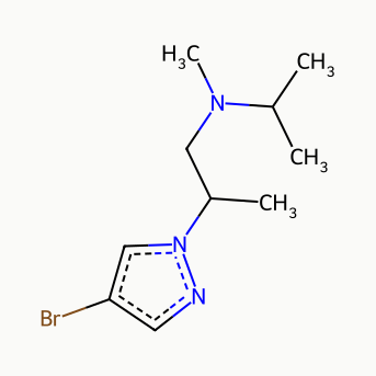 CC(C)N(C)CC(C)n1cc(Br)cn1